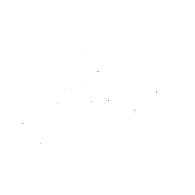 O=C(OCc1ccccc1)C(C(=O)N(CC1=CNC(Cl)C=C1)c1ccccn1)c1ccccc1